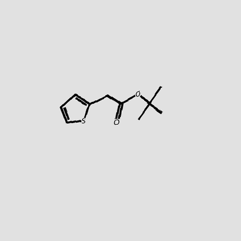 CC(C)(C)OC(=O)Cc1cccs1